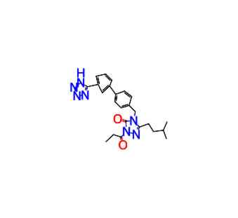 CCC(=O)n1nc(CCC(C)C)n(Cc2ccc(-c3cccc(-c4nnn[nH]4)c3)cc2)c1=O